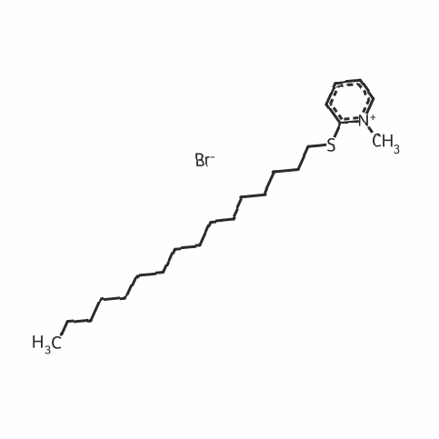 CCCCCCCCCCCCCCCCSc1cccc[n+]1C.[Br-]